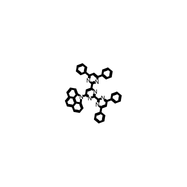 c1ccc(-c2cc(-c3ccccc3)nc(-c3cc(-n4c5cccc6ccc7cccc4c7c65)nc(-c4nc(-c5ccccc5)cc(-c5ccccc5)n4)n3)n2)cc1